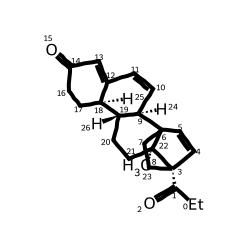 CCC(=O)[C@]12C=CC3(CC1)[C@@H]1C=CC4=CC(=O)CC[C@@H]4[C@H]1CC[C@@]32C